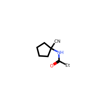 CCC(=O)NC1(C#N)CCCC1